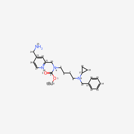 CC(C)(C)OC(=O)N(CCCCN(Cc1ccccc1)C1CC1)Cc1cc(CN)ccn1